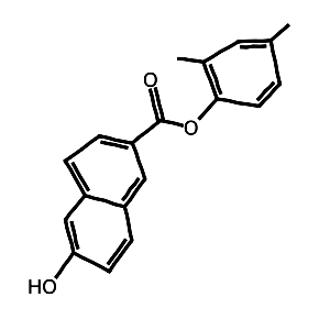 Cc1ccc(OC(=O)c2ccc3cc(O)ccc3c2)c(C)c1